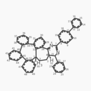 CC12CC[C@@H]3C(=NC(c4ccc(-c5ccccc5)cc4)=NC3c3ccccc3)c3cccc(c31)-c1ccccc1-c1ccccc1-c1ccccc12